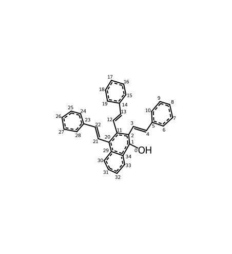 Oc1c(C=Cc2ccccc2)c(C=Cc2ccccc2)c(C=Cc2ccccc2)c2ccccc12